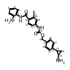 Nc1ccccc1NC(=O)c1ccc(NC(=O)OCc2ccc(C3CC3N)cc2)cc1F